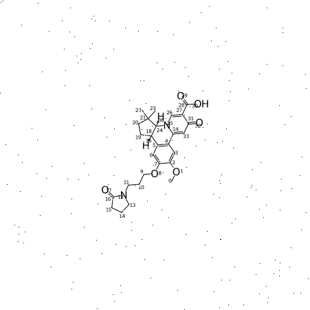 COc1cc2c(cc1OCCCN1CCCC1=O)[C@@H]1CCC(C)(C)[C@@H]1n1cc(C(=O)O)c(=O)cc1-2